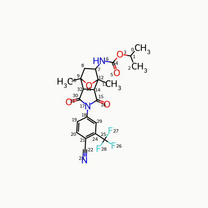 CC(C)OC(=O)NC1CC2(C)OC1(C)C1C(=O)N(c3ccc(C#N)c(C(F)(F)F)c3)C(=O)C12